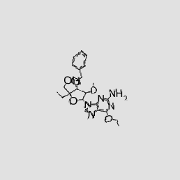 CCOc1nc(N)nc2c1ncn2[C@@H]1O[C@](CC)(CO)[C@@H](OCc2ccccc2)[C@H]1OC